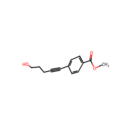 COC(=O)c1ccc(C#CCCCO)cc1